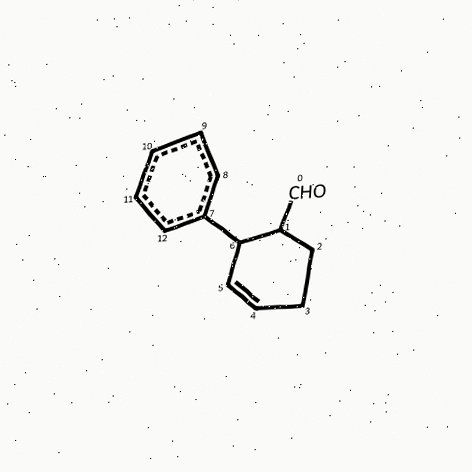 O=CC1CCC=CC1c1ccccc1